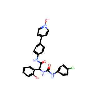 O=C(Nc1ccc(Cl)cc1)NC(C(=O)Nc1ccc(-c2cc[n+]([O-])cc2)cc1)c1ccccc1Br